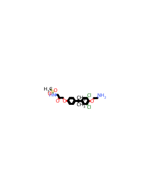 CC(C)(c1ccc(OCC(=O)CNS(C)(=O)=O)cc1)c1cc(Cl)c(OCCN)c(Cl)c1